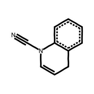 N#CN1C=CCc2ccccc21